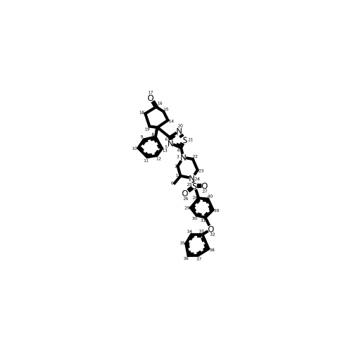 CC1CN(c2nc(C3(c4ccccc4)CCC(=O)CC3)ns2)CCN1S(=O)(=O)c1ccc(Oc2ccccc2)cc1